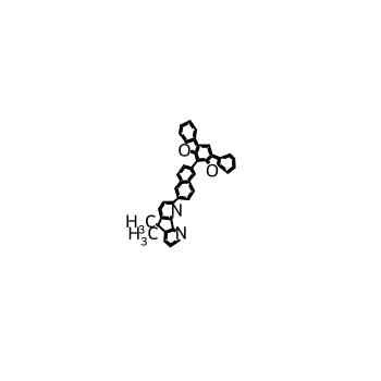 CC1(C)c2cccnc2-c2nc(-c3ccc4cc(-c5c6oc7ccccc7c6cc6c5oc5ccccc56)ccc4c3)ccc21